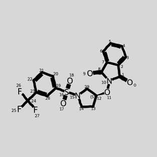 O=C1c2ccccc2C(=O)N1O[C@H]1CCN(S(=O)(=O)c2cccc(C(F)(F)F)c2)C1